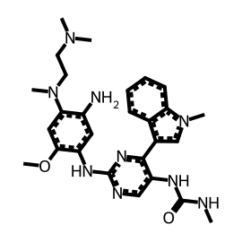 CNC(=O)Nc1cnc(Nc2cc(N)c(N(C)CCN(C)C)cc2OC)nc1-c1cn(C)c2ccccc12